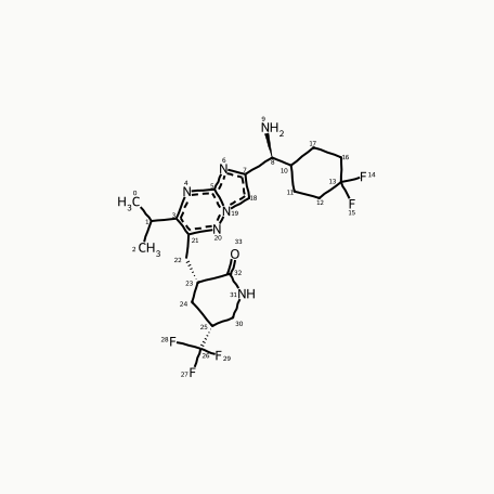 CC(C)c1nc2nc([C@@H](N)C3CCC(F)(F)CC3)cn2nc1C[C@H]1C[C@@H](C(F)(F)F)CNC1=O